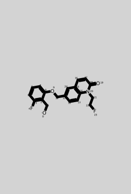 [O]Cc1c(F)cccc1OCc1ccc2c(ccc(=O)n2CCF)c1